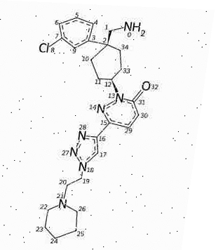 NC[C@]1(c2cccc(Cl)c2)CC[C@H](n2nc(-c3cn(CCN4CCCCC4)nn3)ccc2=O)CC1